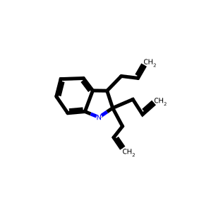 C=CCC1c2ccccc2[N]C1(CC=C)CC=C